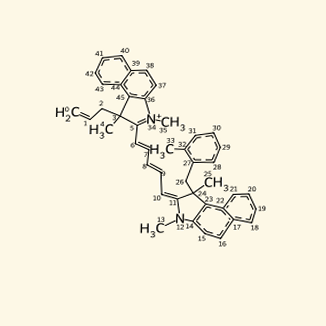 C=CCC1(C)C(/C=C/C=C/C=C2/N(C)c3ccc4ccccc4c3C2(C)Cc2ccccc2C)=[N+](C)c2ccc3ccccc3c21